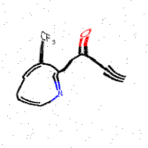 C#CC(=O)c1ncccc1C(F)(F)F